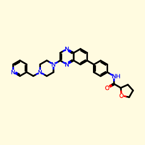 O=C(Nc1ccc(-c2ccc3ncc(N4CCN(Cc5cccnc5)CC4)nc3c2)cc1)C1CCCO1